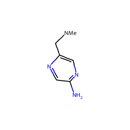 CNCc1cnc(N)cn1